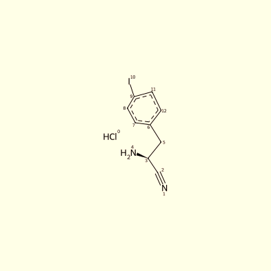 Cl.N#C[C@@H](N)Cc1ccc(I)cc1